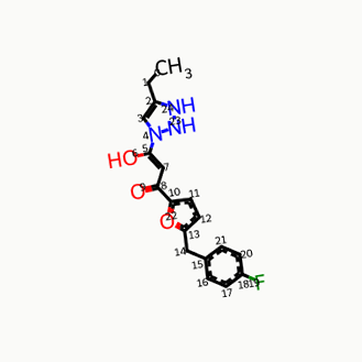 CCC1=CN(C(O)=CC(=O)c2ccc(Cc3ccc(F)cc3)o2)NN1